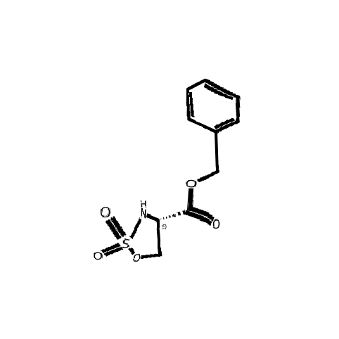 O=C(OCc1ccccc1)[C@@H]1COS(=O)(=O)N1